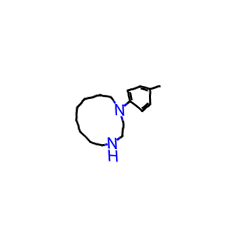 Cc1ccc(N2CCCCCCCCNCC2)cc1